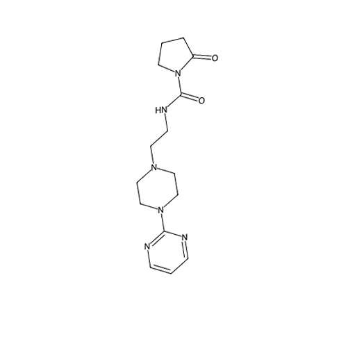 O=C1CCCN1C(=O)NCCN1CCN(c2ncccn2)CC1